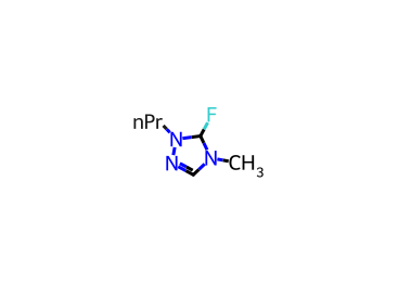 CCCN1N=CN(C)C1F